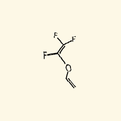 C=COC(F)=C(F)F